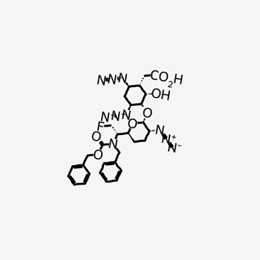 [N-]=[N+]=N[C@H]1C[C@@H](N=[N+]=[N-])[C@H](CC(=O)O)[C@H](O)[C@@H]1O[C@H]1O[C@H]([C@@H](CF)N(Cc2ccccc2)C(=O)OCc2ccccc2)CC[C@H]1N=[N+]=[N-]